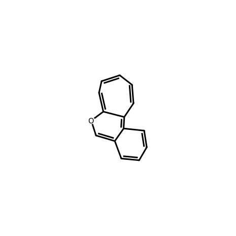 C1=CC=C2OC=c3ccccc3=C2C=C1